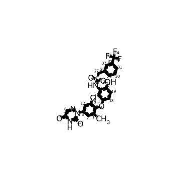 Cc1cc(-n2ncc(=O)[nH]c2=O)cc(Cl)c1Oc1ccc(O)c(NS(=O)(=O)Cc2cccc(C(F)(F)F)c2)c1